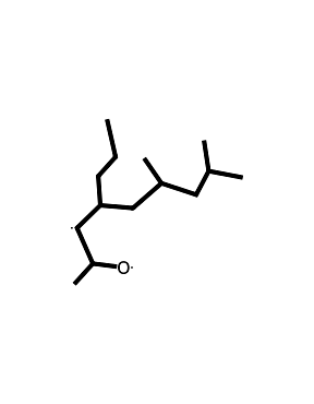 CCCC([CH]C(C)[O])CC(C)CC(C)C